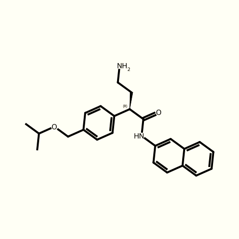 CC(C)OCc1ccc([C@@H](CCN)C(=O)Nc2ccc3ccccc3c2)cc1